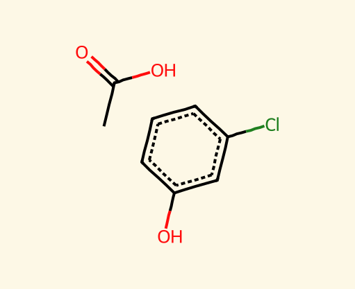 CC(=O)O.Oc1cccc(Cl)c1